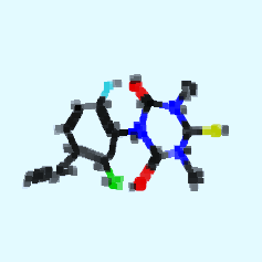 CCn1c(=S)n(CC)c(=O)n(-c2c(F)ccc(C(=O)O)c2Cl)c1=O